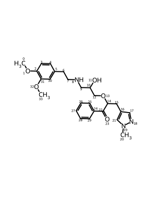 COc1ccc(CCNCC(O)COC(Cc2cnn(C)c2)C(=O)c2ccccc2)cc1OC